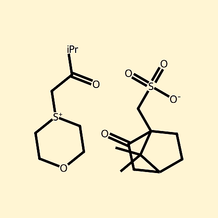 CC(C)C(=O)C[S+]1CCOCC1.CC1(C)C2CCC1(CS(=O)(=O)[O-])C(=O)C2